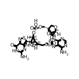 CO[C@H]1[C@H]2OP(=O)(O)OC[C@@]34CO[C@@H]([C@H](n5cnc6c(N)ncnc65)O3)[C@@H]4O[PH](=O)OC[C@H]1O[C@H]2c1snc2c(=O)[nH]c(N)nc12